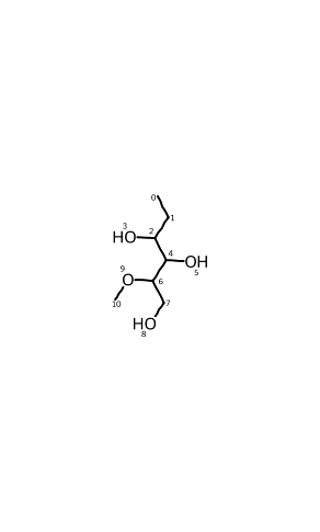 CCC(O)C(O)C(CO)OC